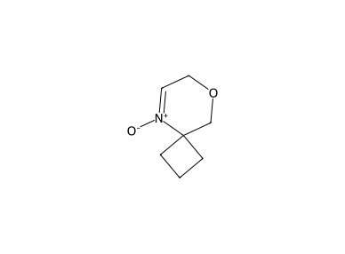 [O-][N+]1=CCOCC12CCC2